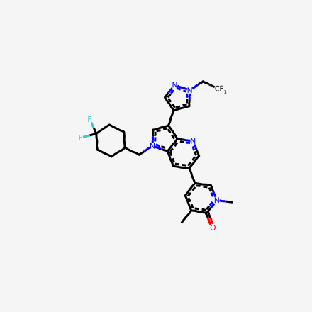 Cc1cc(-c2cnc3c(-c4cnn(CC(F)(F)F)c4)cn(CC4CCC(F)(F)CC4)c3c2)cn(C)c1=O